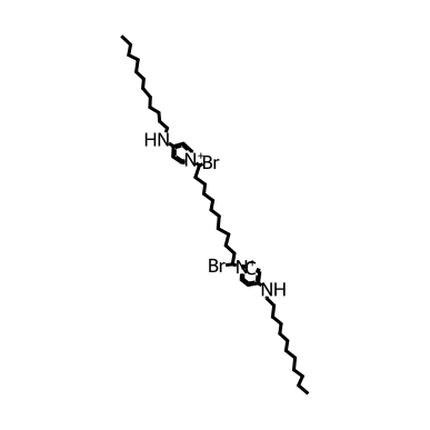 CCCCCCCCCCCCNc1cc[n+](C(Br)CCCCCCCCCCC(Br)[n+]2ccc(NCCCCCCCCCCCC)cc2)cc1